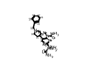 NC(=O)N(N)c1ncc(C2CCN(Cc3ccccc3)CC2)c(N(N)C(N)=O)n1